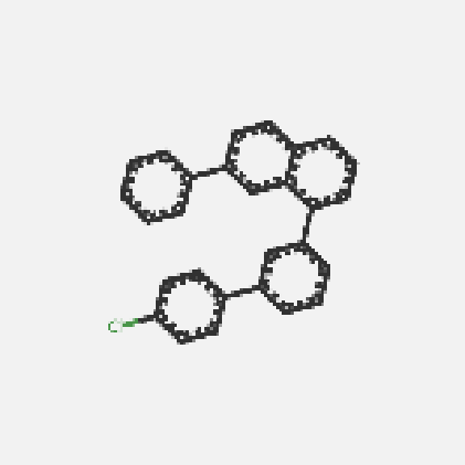 Clc1ccc(-c2cccc(-c3cccc4ccc(-c5ccccc5)cc34)c2)cc1